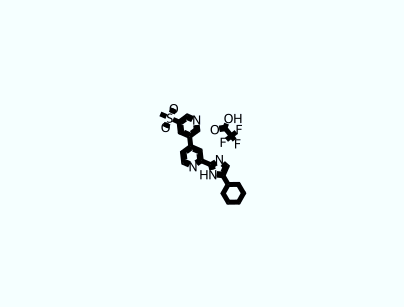 CS(=O)(=O)c1cncc(-c2ccnc(-c3ncc(C4CCCCC4)[nH]3)c2)c1.O=C(O)C(F)(F)F